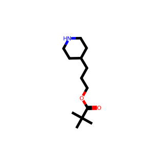 CC(C)(C)C(=O)OCCCC1CCNCC1